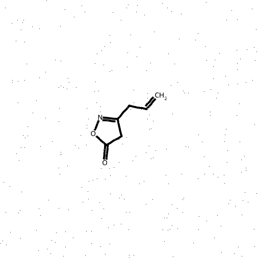 C=CCC1=NOC(=O)C1